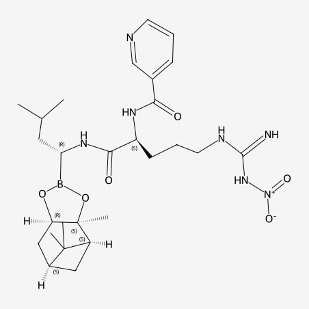 CC(C)C[C@H](NC(=O)[C@H](CCCNC(=N)N[N+](=O)[O-])NC(=O)c1cccnc1)B1O[C@@H]2C[C@@H]3C[C@@H](C3(C)C)[C@]2(C)O1